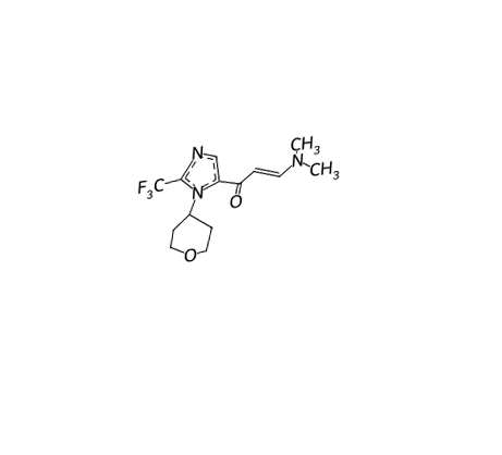 CN(C)/C=C/C(=O)c1cnc(C(F)(F)F)n1C1CCOCC1